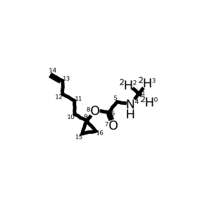 [2H]C([2H])([2H])NCC(=O)OC1(CCCC=C)CC1